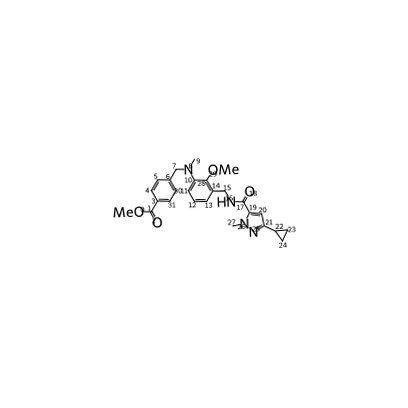 COC(=O)c1ccc(CN(C)c2cccc(CNC(=O)c3cc(C4CC4)nn3C)c2OC)cc1